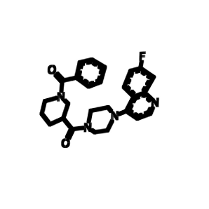 O=C(c1ccccc1)N1CCCC(C(=O)N2CCN(c3ccnc4cc(F)ccc34)CC2)C1